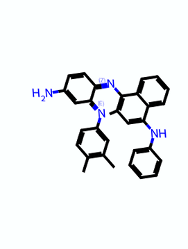 Cc1ccc(/N=C2\C=C(N)C=C\C2=N\c2c(C)cc(Nc3ccccc3)c3ccccc23)cc1C